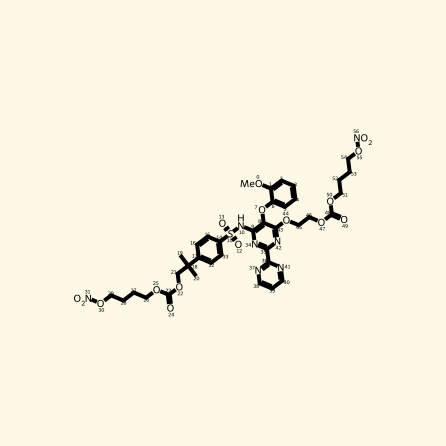 COc1ccccc1Oc1c(NS(=O)(=O)c2ccc(C(C)(C)COC(=O)OCCCCO[N+](=O)[O-])cc2)nc(-c2ncccn2)nc1OCCOC(=O)OCCCCO[N+](=O)[O-]